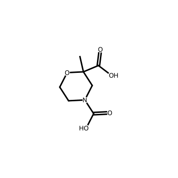 CC1(C(=O)O)CN(C(=O)O)CCO1